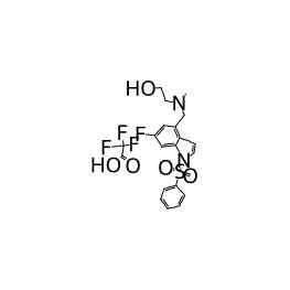 CN(CCO)Cc1cc(F)cc2c1ccn2S(=O)(=O)c1ccccc1.O=C(O)C(F)(F)F